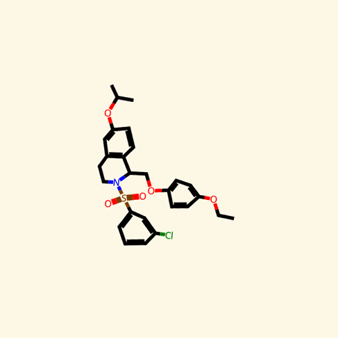 CCOc1ccc(OCC2c3ccc(OC(C)C)cc3CCN2S(=O)(=O)c2cccc(Cl)c2)cc1